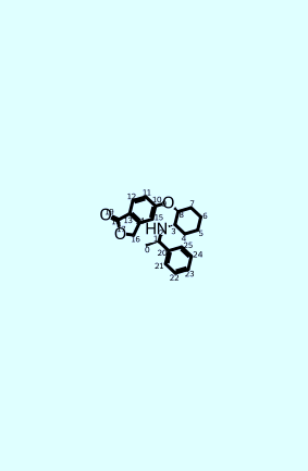 C[C@@H](N[C@H]1CCCC[C@@H]1Oc1ccc2c(c1)COC2=O)c1ccccc1